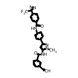 C#Cc1cccc(C(=O)Nc2cc(-c3ccc(NC(=O)c4ccc(C5(C(F)(F)F)N=N5)cc4)cc3)nn2C)c1